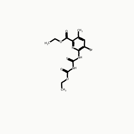 CCOC(=O)NC(=S)Nc1nc(C(=O)OCC)c(C)cc1Br